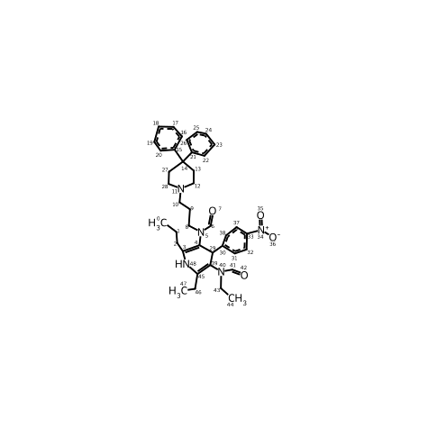 CCCC1=C(N(C=O)CCCN2CCC(c3ccccc3)(c3ccccc3)CC2)C(c2ccc([N+](=O)[O-])cc2)C(N(C=O)CC)=C(CC)N1